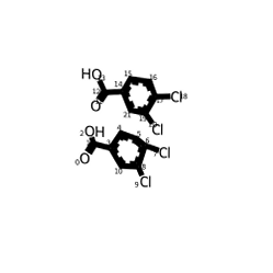 O=C(O)c1ccc(Cl)c(Cl)c1.O=C(O)c1ccc(Cl)c(Cl)c1